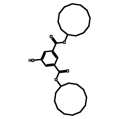 O=C(OC1CCCCCCCCCCC1)c1cc(O)cc(C(=O)OC2CCCCCCCCCCC2)c1